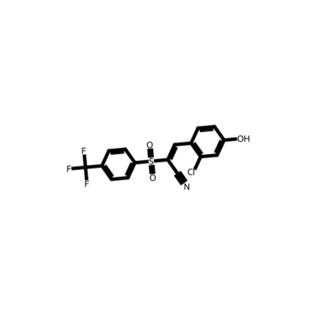 N#CC(=Cc1ccc(O)cc1Cl)S(=O)(=O)c1ccc(C(F)(F)F)cc1